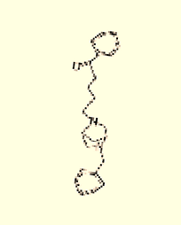 O=C(CCCCN1CC2CC1CN2Cc1ccccc1)c1ccccc1